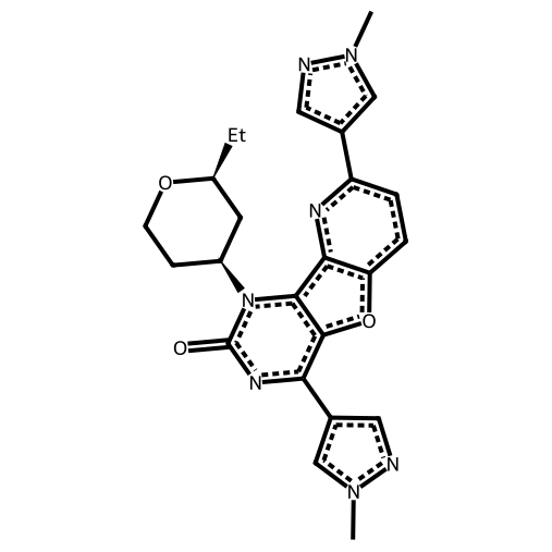 CC[C@H]1C[C@@H](n2c(=O)nc(-c3cnn(C)c3)c3oc4ccc(-c5cnn(C)c5)nc4c32)CCO1